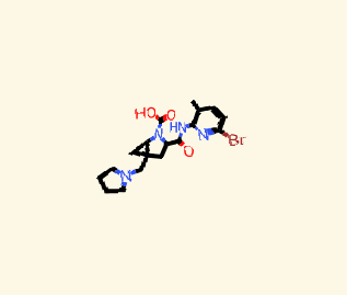 Cc1ccc(Br)nc1NC(=O)C1CC2(CN3CCCC3)CC2N1C(=O)O